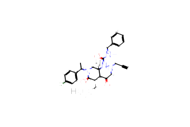 C#CCN1CC(=O)C2[C@@H](CC(=O)O)C(=O)N(C(C)c3ccc(F)cc3)C[C@@H]2N1C(=O)NCc1ccccc1